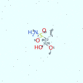 C=C[C@H]([C@@H](O)OC)S(N)(=O)=O